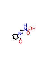 O=Cc1ccccc1N1CC(NC(=O)O)C1